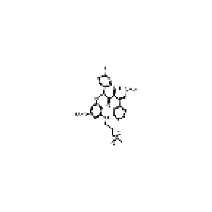 CN/C=C(\C(=N)C(=O)C(Nc1cc(OC)cc(OCCCS(C)(=O)=O)c1)c1ccc(F)cc1)c1ccccc1